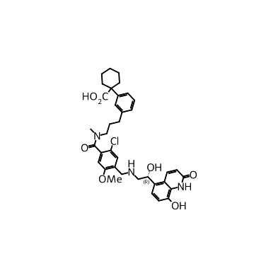 COc1cc(C(=O)N(C)CCCc2cccc(C3(C(=O)O)CCCCC3)c2)c(Cl)cc1CNC[C@H](O)c1ccc(O)c2[nH]c(=O)ccc12